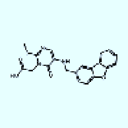 CSc1ncc(NCc2ccc3oc4ccccc4c3c2)c(=O)n1CC(=O)O